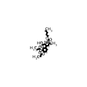 CCCCCOC(=O)OC(C)CC(c1ccc(OC(=O)CC)c(OC(=O)CC)c1)[C@H](N)C(=O)O